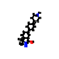 [2H]C1([2H])NC(=O)c2cc(-c3ccc(C4CCN(C)CC4)cc3)ccc21